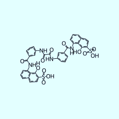 O=C(Nc1cccc(C(=O)Nc2cccc3ccc(S(=O)(=O)O)c(O)c23)c1)C(=O)Nc1cccc(C(=O)Nc2cccc3ccc(S(=O)(=O)O)c(O)c23)c1